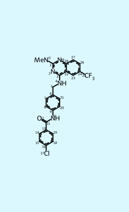 CNc1nc(NCc2ccc(NC(=O)c3ccc(Cl)cc3)cc2)c2cc(C(F)(F)F)ccc2n1